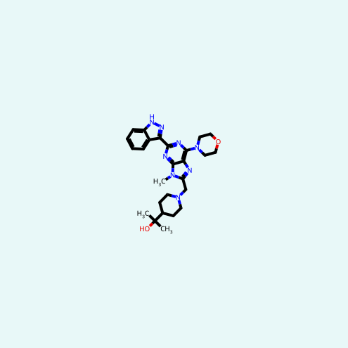 Cn1c(CN2CCC(C(C)(C)O)CC2)nc2c(N3CCOCC3)nc(-c3n[nH]c4ccccc34)nc21